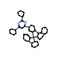 c1ccc(-c2cc(-c3ccc4c(c3)C3(c5ccccc5-c5ccccc53)c3ccc5ccccc5c3-4)nc(-c3ccccc3)n2)cc1